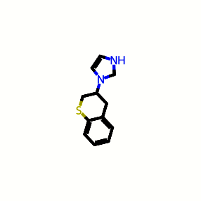 C1=CN(C2CSc3ccccc3C2)CN1